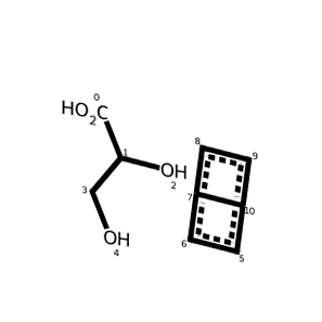 O=C(O)C(O)CO.c1cc2ccc1-2